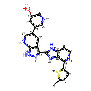 Cc1ccc(-c2nccc3[nH]c(-c4n[nH]c5ncc(-c6cncc(O)c6)cc45)nc23)s1